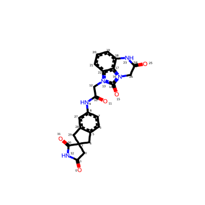 O=C1CC2(Cc3ccc(NC(=O)Cn4c(=O)n5c6c(cccc64)NC(=O)C5)cc3C2)C(=O)N1